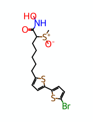 C[S+]([O-])C(CCCCCc1ccc(-c2ccc(Br)s2)s1)C(=O)NO